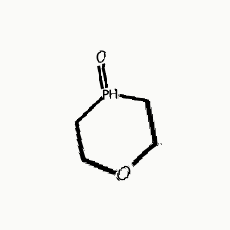 O=[PH]1C[CH]OCC1